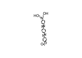 CC(=O)Oc1ccc(N=Nc2ccc(N=Nc3ccc(N(CCO)CCO)cc3)cc2)cc1